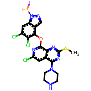 CSc1nc(N2CCNCC2)c2cc(Cl)nc(Oc3c(Cl)c(Cl)cc4c3cnn4PI)c2n1